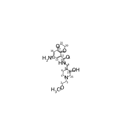 COCCN1CC[C@@H](CNC(=O)c2cc(N)cc3c2OCCO3)[C@H](O)C1